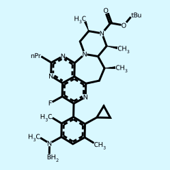 BN(C)c1cc(C)c(C2CC2)c(-c2nc3c4c(nc(CCC)nc4c2F)N2C[C@@H](C)N(C(=O)OC(C)(C)C)[C@@H](C)C2[C@@H](C)C3)c1C